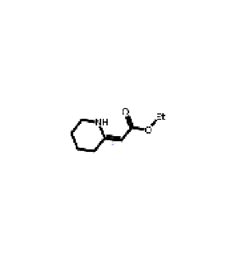 CCOC(=O)/C=C1/CCCCN1